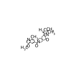 COc1ccnc2c(C)cc(C(=O)N3CCC4(CC3)CC(=O)c3nc(C(C)(C)C)sc3C4)cc12